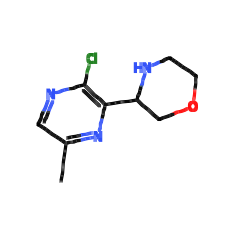 Cc1cnc(Cl)c(C2COCCN2)n1